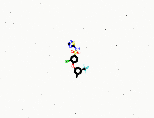 Cc1cc(Oc2ccc(S(=O)(=O)Nc3ncns3)cc2Cl)cc(C(F)(F)F)c1